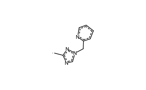 [CH2]c1ncn(Cc2ccccn2)n1